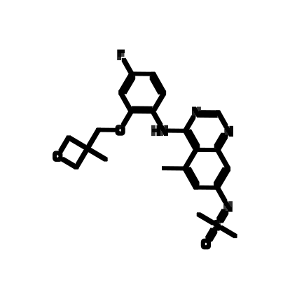 Cc1cc(N=S(C)(C)=O)cc2ncnc(Nc3ccc(F)cc3OCC3(C)COC3)c12